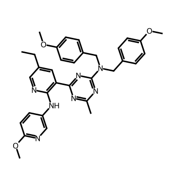 CCc1cnc(Nc2ccc(OC)nc2)c(-c2nc(C)nc(N(Cc3ccc(OC)cc3)Cc3ccc(OC)cc3)n2)c1